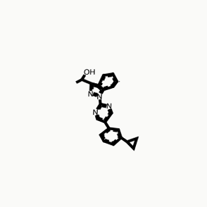 CC(O)c1nn(-c2ncc(-c3cccc(C4CC4)c3)cn2)c2c[c]ccc12